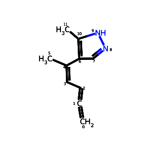 C=C=C/C=C(/C)c1cn[nH]c1C